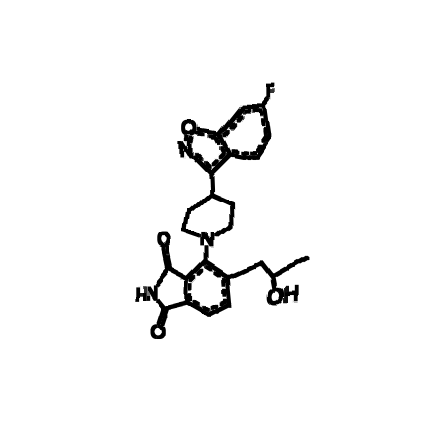 CC(O)Cc1ccc2c(c1N1CCC(c3noc4cc(F)ccc34)CC1)C(=O)NC2=O